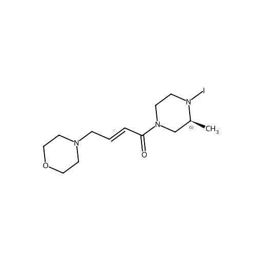 C[C@H]1CN(C(=O)/C=C/CN2CCOCC2)CCN1I